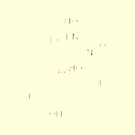 C/C(=C\CCC(C)(O)C(O)CN1C(=O)c2cccc(O)c2Nc2c(O)cc(O)cc21)CCC(O)C(C)(C)O